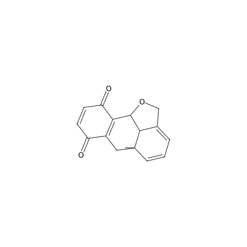 CC12C=CC=C3COC(C4=C(C1)C(=O)C=CC4=O)C32